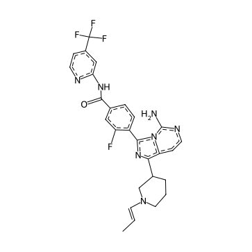 CC=CN1CCCC(c2nc(-c3ccc(C(=O)Nc4cc(C(F)(F)F)ccn4)cc3F)n3c(N)nccc23)C1